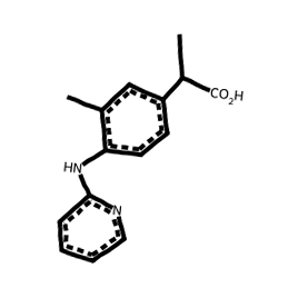 Cc1cc(C(C)C(=O)O)ccc1Nc1ccccn1